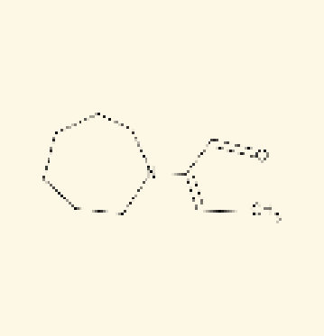 CC=C(C=O)N1CCCCCC1